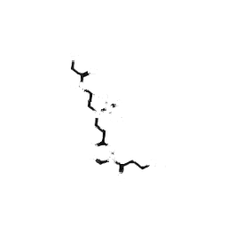 CCCC(=O)N(C=O)OC(=O)CCN(CCNC(=O)CBr)P(=O)(O)O